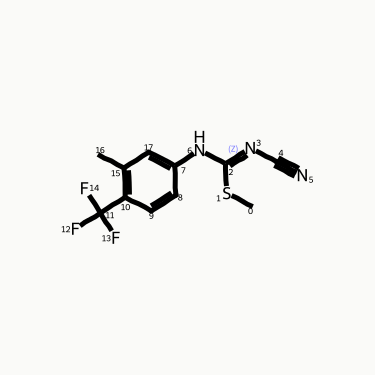 CS/C(=N\C#N)Nc1ccc(C(F)(F)F)c(C)c1